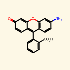 Nc1ccc2c(-c3ccccc3C(=O)O)c3ccc(=O)cc-3oc2c1